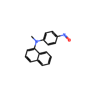 CN(c1ccc(N=O)cc1)c1cccc2ccccc12